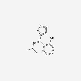 CN(C)/N=C(\c1ccccc1O)n1ccnc1